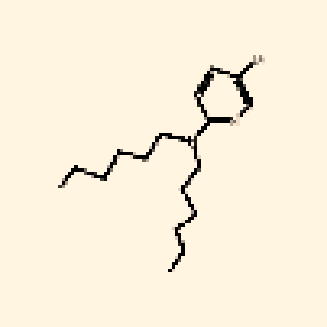 CCCCCCN(CCCCCC)c1ccc(Br)cn1